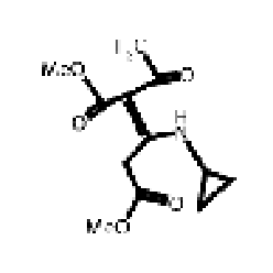 COC(=O)CC(NC1CC1)=C(C(=O)OC)C(=O)C(F)(F)F